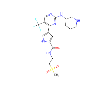 CS(=O)(=O)CCNC(=O)c1cc(-c2nc(NC3CCCNC3)ncc2C(F)(F)F)c[nH]1